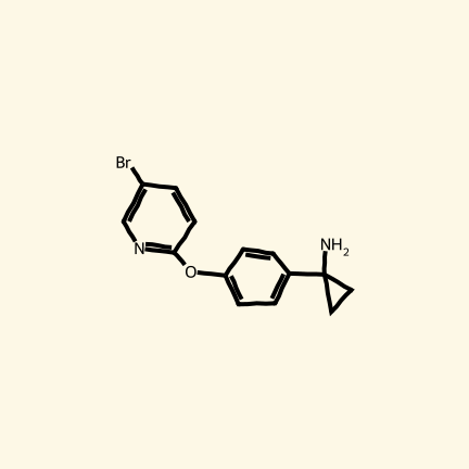 NC1(c2ccc(Oc3ccc(Br)cn3)cc2)CC1